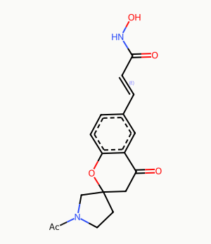 CC(=O)N1CCC2(CC(=O)c3cc(/C=C/C(=O)NO)ccc3O2)C1